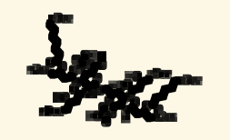 CCCCCCCCCCCCCCCCC(=O)OC(CCCCCCCCCCC)CC(=O)O[C@H]1C(OP(=O)(O)O)C(CO)O[C@@H](OCC2OC(OP(=O)(O)O)C(NC(=O)CC(CCCCCCCCCCC)OC(=O)CCCCCCCCCCCCCCC)[C@@H](OC(=O)CC(O)CCCCCCCCCCC)[C@@H]2O)C1NC(=O)CC(O)CCCCCCCCCCC